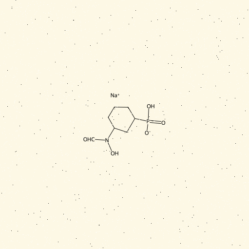 O=CN(O)C1CCCC(P(=O)([O-])O)C1.[Na+]